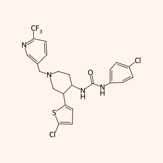 O=C(Nc1ccc(Cl)cc1)NC1CCN(Cc2ccc(C(F)(F)F)nc2)CC1c1ccc(Cl)s1